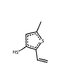 C=Cc1sc(C)cc1S